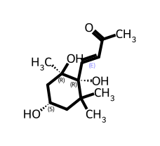 CC(=O)/C=C/[C@@]1(O)C(C)(C)C[C@H](O)C[C@@]1(C)O